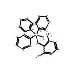 Cc1cccc(F)c1CP(Cl)(c1ccccc1)(c1ccccc1)c1ccccc1